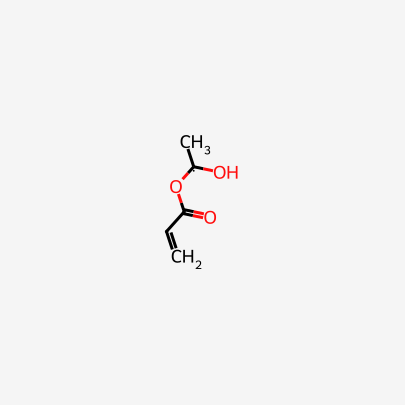 C=CC(=O)O[C](C)O